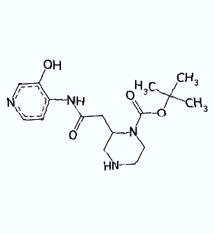 CC(C)(C)OC(=O)N1CCNCC1CC(=O)Nc1ccncc1O